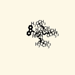 CC(C)(CCOC(C)(C)C)NC(=O)C(CCC(=O)OC(C)(C)C)NC(=O)[C@H](CCC(=O)OC(C)(C)C)NC(=O)OCC1c2ccccc2-c2ccccc21